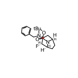 CN(Cc1ccccc1)[C@@H]1C[C@H]2CC[C@@H]([C@@H]1F)N2C(=O)OC(C)(C)C